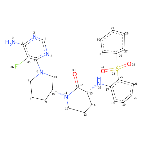 Nc1ncnc(N2CCC[C@@H](N3CCC[C@@H](Nc4ccccc4S(=O)(=O)c4ccccc4)C3=O)C2)c1F